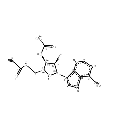 CCCCC(=O)OC[C@H]1O[C@@H](n2cnc3c(N)ncnc32)[C@H](F)[C@@H]1OC(=O)CCCC